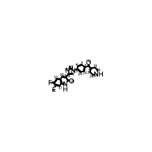 O=C(c1ccc(-n2cc(-c3cc4cc(F)c(F)cc4[nH]c3=O)nn2)cc1)C1CCNCC1